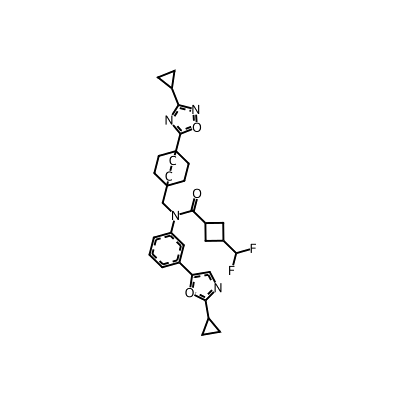 O=C(C1CC(C(F)F)C1)N(CC12CCC(c3nc(C4CC4)no3)(CC1)CC2)c1cccc(-c2cnc(C3CC3)o2)c1